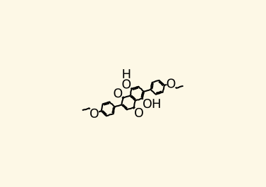 CCOc1ccc(C2=CC(=O)c3c(O)c(-c4ccc(OCC)cc4)cc(O)c3C2=O)cc1